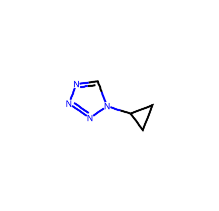 c1nnnn1C1CC1